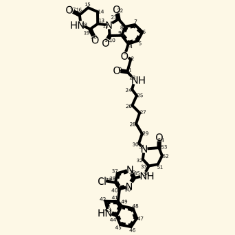 O=C(COc1cccc2c1C(=O)N(C1CCC(=O)NC1=O)C2=O)NCCCCCCCN1CC(Nc2ncc(Cl)c(-c3c[nH]c4ccccc34)n2)CCC1=O